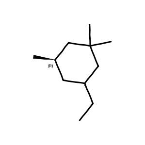 CC[C]1C[C@@H](C)CC(C)(C)C1